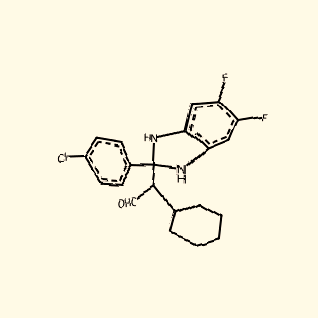 O=CC(C1CCCCC1)C1(c2ccc(Cl)cc2)Nc2cc(F)c(F)cc2N1